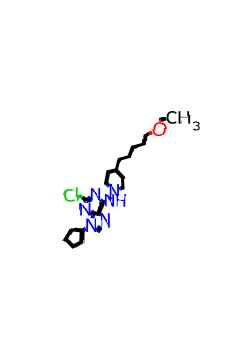 CCOCCCCCC1CCN(Nc2nc(Cl)nc3c2ncn3C2CCCC2)CC1